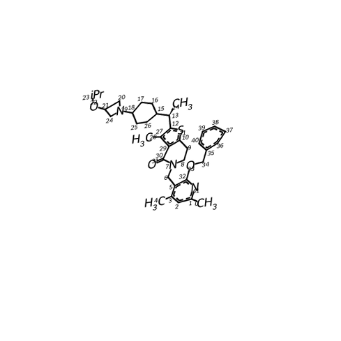 Cc1cc(C)c(CN2CCc3sc([C@H](C)C4CCC(N5CC(OC(C)C)C5)CC4)c(C)c3C2=O)c(OCc2ccccc2)n1